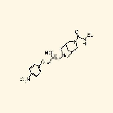 CCNC(=O)N1CC2CC(CN(C[C@H](O)COc3ccc([N+](=O)[O-])cc3)C2)C1